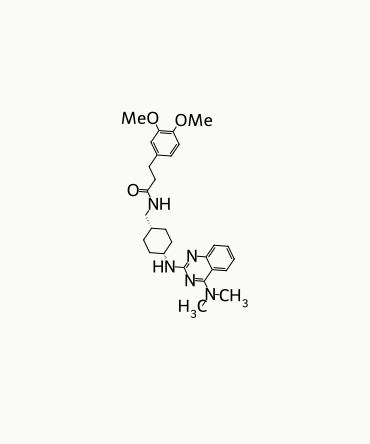 COc1ccc(CCC(=O)NC[C@H]2CC[C@@H](Nc3nc(N(C)C)c4ccccc4n3)CC2)cc1OC